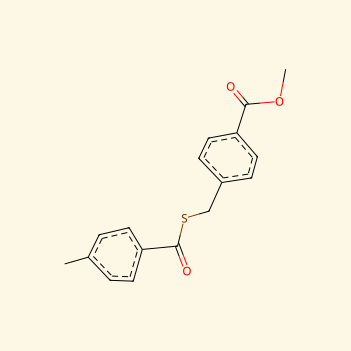 COC(=O)c1ccc(CSC(=O)c2ccc(C)cc2)cc1